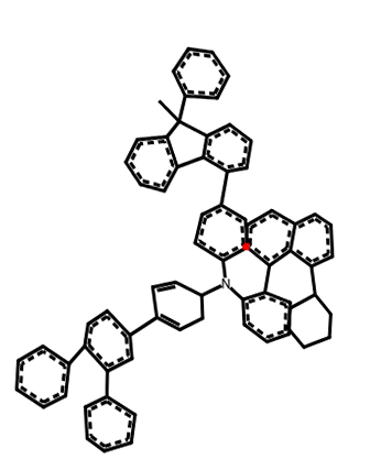 CC1(c2ccccc2)c2ccccc2-c2c(-c3ccc(N(c4ccccc4-c4cccc5cccc(C6CCCCC6)c45)C4C=CC(c5ccc(-c6ccccc6)c(-c6ccccc6)c5)=CC4)cc3)cccc21